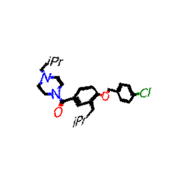 CC(C)Cc1cc(C(=O)N2CCN(CC(C)C)CC2)ccc1OCc1ccc(Cl)cc1